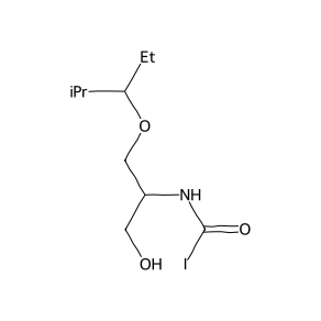 CCC(OCC(CO)NC(=O)I)C(C)C